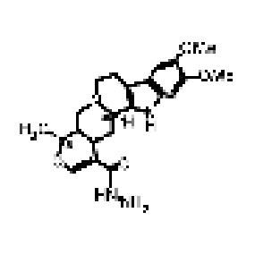 COc1cc2[nH]c3c(c2cc1OC)CCN1CC2C(C[C@H]31)C(C(=O)NN)=CO[C@H]2C